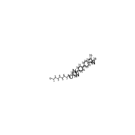 CCCCCCCCCOc1cnc(-c2ccc(C3CCC(C#N)(CC(C)CC)CC3)cc2)nc1